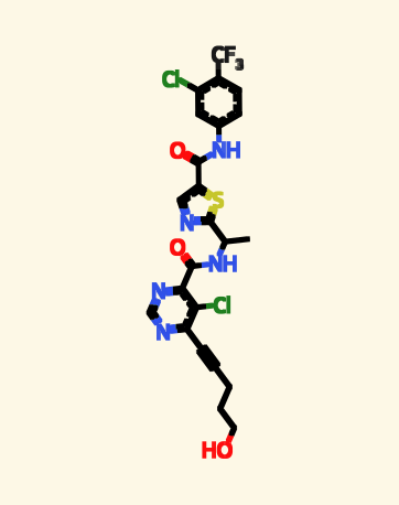 CC(NC(=O)c1ncnc(C#CCCCO)c1Cl)c1ncc(C(=O)Nc2ccc(C(F)(F)F)c(Cl)c2)s1